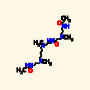 C=CC(=O)NCCCN(C)CCCCCN(C)CCCNC(=O)CCN(C)CCCNC(=O)C=C